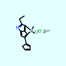 CCC1=NC2=CC(C3=CC=CC3)=C3C2=C1[Si]3(C)C.[Cl-].[Cl-].[Zr+2]